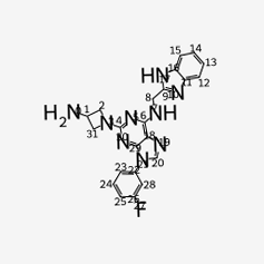 NC1CN(c2nc(NCc3nc4ccccc4[nH]3)c3ncn(-c4cccc(F)c4)c3n2)C1